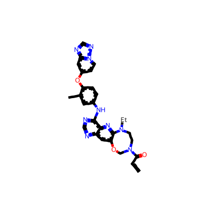 C=CC(=O)N1CCN(CC)c2nc3c(Nc4ccc(Oc5ccn6ncnc6c5)c(C)c4)ncnc3cc2OC1